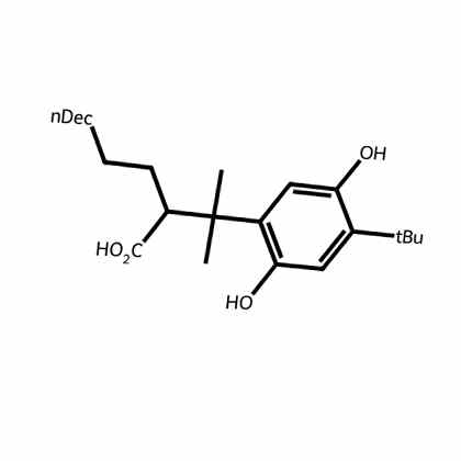 CCCCCCCCCCCCC(C(=O)O)C(C)(C)c1cc(O)c(C(C)(C)C)cc1O